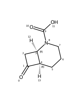 O=C1C[C@@H]2[C@H]1CCCN2C(=O)O